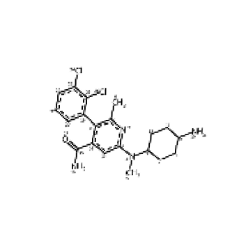 Cc1nc(N(C)C2CCC(N)CC2)cc(C(N)=O)c1-c1cccc(Cl)c1Cl